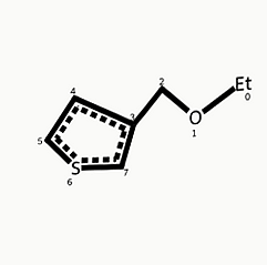 CCOCc1ccsc1